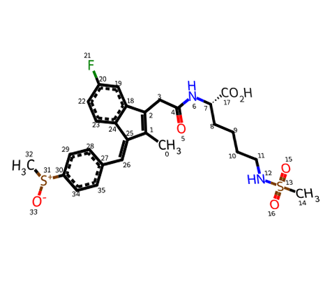 CC1=C(CC(=O)N[C@@H](CCCCNS(C)(=O)=O)C(=O)O)c2cc(F)ccc2/C1=C\c1ccc([S+](C)[O-])cc1